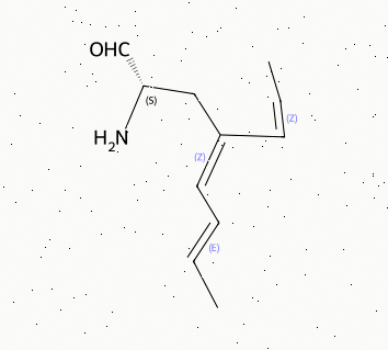 C\C=C/C(=C\C=C\C)C[C@H](N)C=O